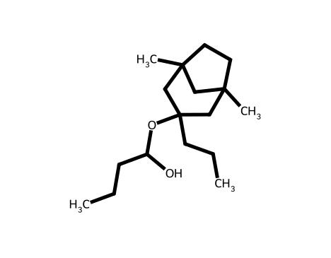 CCCC(O)OC1(CCC)CC2(C)CCC(C)(C2)C1